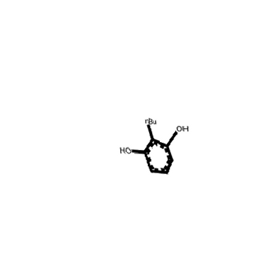 CCCCc1c(O)cccc1O